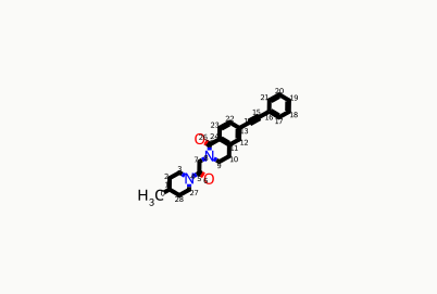 CC1CCN(C(=O)CN2CCc3cc(C#Cc4ccccc4)ccc3C2=O)CC1